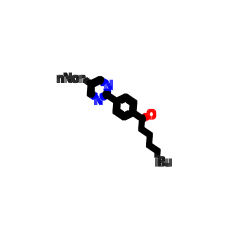 CCCCCCCCCc1cnc(-c2ccc(C(=O)CCCCC(C)CC)cc2)nc1